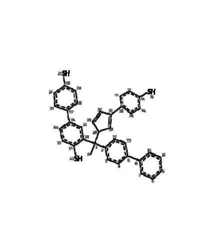 CC(c1ccc(-c2ccccc2)cc1)(c1cc(-c2ccc(S)cc2)ccc1S)C1C=CC(c2ccc(S)cc2)=C1